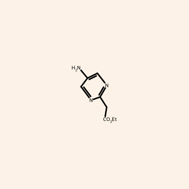 CCOC(=O)Cc1ncc(N)cn1